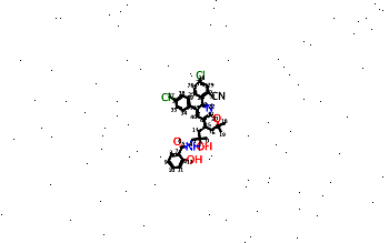 CC(O)(CNC(=O)c1ccccc1O)CC1CC(C)(C)Oc2nc(-c3ccc(Cl)cc3C#N)c(-c3ccc(Cl)cc3)cc21